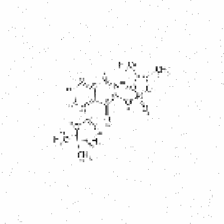 CCOP(=O)(OCC)On1nnc2cccc(C(=O)OC(C)(C)C)c2c1=O